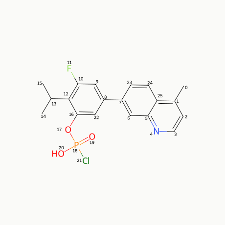 Cc1ccnc2cc(-c3cc(F)c(C(C)C)c(OP(=O)(O)Cl)c3)ccc12